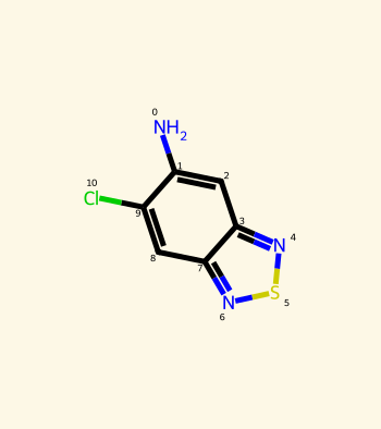 Nc1cc2nsnc2cc1Cl